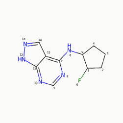 FC1CCCC1Nc1ncnc2[nH]ncc12